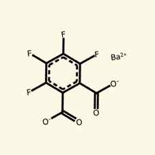 O=C([O-])c1c(F)c(F)c(F)c(F)c1C(=O)[O-].[Ba+2]